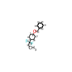 CCC(F)(F)C1CCC(OCc2ccccc2)CC1